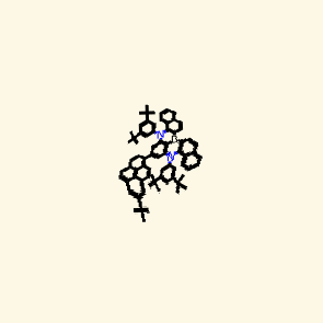 CC(C)(C)c1cc(N2c3cc(-c4ccc5ccc6cc(C(C)(C)C)cc7ccc4c5c67)cc4c3B(c3ccc5ccccc5c32)c2ccc3ccccc3c2N4c2cc(C(C)(C)C)cc(C(C)(C)C)c2)cc(C(C)(C)C)c1